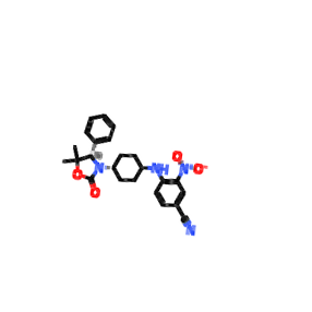 CC1(C)OC(=O)N([C@H]2CC[C@H](Nc3ccc(C#N)cc3[N+](=O)[O-])CC2)[C@H]1c1ccccc1